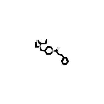 CCc1nccn1CC1CCN(C(=O)CCc2ccccc2)CC1